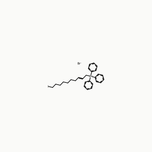 ICCCCCCCC=CC[P+](c1ccccc1)(c1ccccc1)c1ccccc1.[Br-]